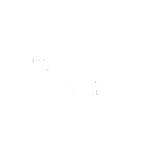 CCC(Cc1ccccc1CC(CC)C(=O)O)C(=O)O